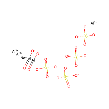 O=S(=O)([O-])[O-].O=S(=O)([O-])[O-].O=S(=O)([O-])[O-].O=S(=O)([O-])[O-].[Al+3].[Al+3].[Al+3].[Na+].[O]=[Al][O-].[O]=[Al][O-]